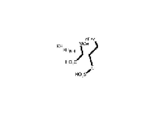 CCCCCCCCCCCCOS(=O)(=O)O.CNCC(=O)O.[KH].[KH].[KH]